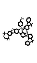 CC(C)(C)c1ccc(Nc2cc3oc4cc5c(cc4c3cc2-c2ccc3c4c6c(ccc4n4c3c2Bc2cc3c(cc2-4)C(C)(C)c2ccccc2-3)C(C)(C)c2ccccc2-6)C(C)(C)CCC5(C)C)cc1